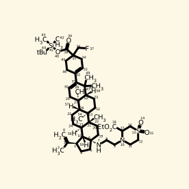 C=C(C)[C@@H]1CC[C@]2(NCCN3CCS(=O)(=O)CC3C(=O)OCC)CC[C@]3(C)[C@H](CC[C@@H]4[C@@]5(C)CC=C(C6=CCC(CF)(C(=O)O[Si](C)(C)C(C)(C)C)CC6)C(C)(C)[C@@H]5CC[C@]43C)[C@@H]12